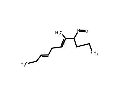 CC/C=C/C/C=C(\C)C(CCC)N=O